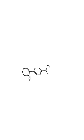 COC1=CCCC=C1C1=CC=C(C(C)=O)CC1